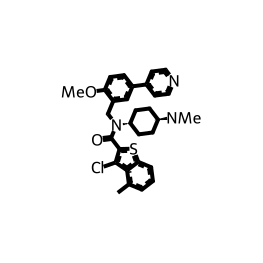 CN[C@H]1CC[C@H](N(Cc2cc(-c3ccncc3)ccc2OC)C(=O)c2sc3cccc(C)c3c2Cl)CC1